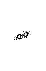 O=C1CCN(c2ncc(Cl)cn2)CC1